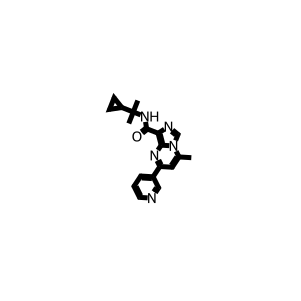 Cc1cc(-c2cccnc2)nc2c(C(=O)NC(C)(C)C3CC3)ncn12